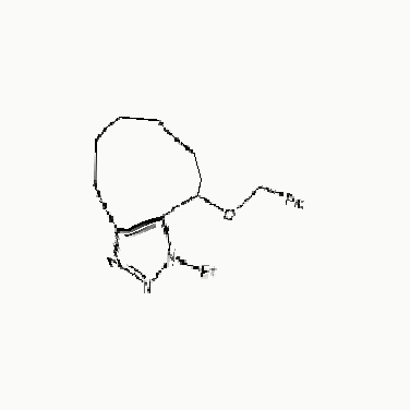 CCn1nnc2c1C(OCC(C)=O)CCCCC2